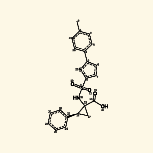 Cc1ccc(-c2ccc(S(=O)(=O)NC3(C(=O)O)C[C@H]3c3ccccc3)s2)cc1